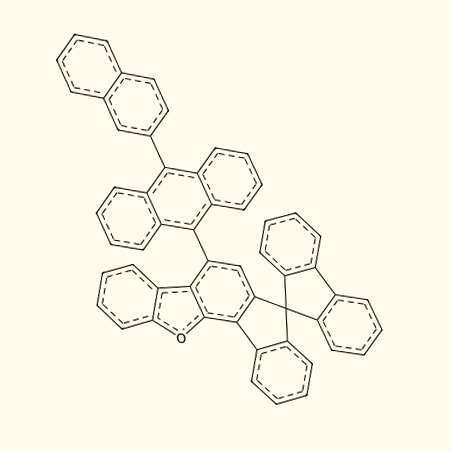 c1ccc2c(c1)-c1ccccc1C21c2ccccc2-c2c1cc(-c1c3ccccc3c(-c3ccc4ccccc4c3)c3ccccc13)c1c2oc2ccccc21